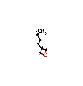 C=CCCC1COC1